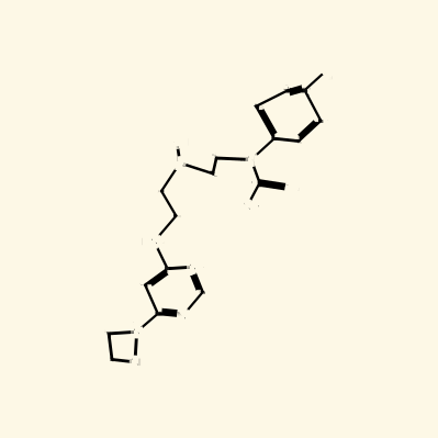 CN(CCNc1cc(N2CCN2)ncn1)CCN(C(N)=S)c1ccc(Cl)cc1